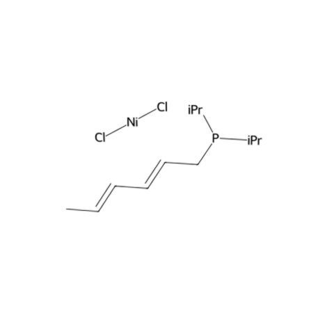 CC=CC=CCP(C(C)C)C(C)C.[Cl][Ni][Cl]